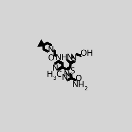 Cc1ncc(NC(=O)CN2CCC3(CC2)CC3)cc1-c1c(-c2cnn(CCO)c2)sc2c(C(N)=O)cnn12